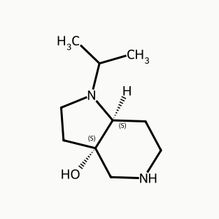 CC(C)N1CC[C@]2(O)CNCC[C@H]12